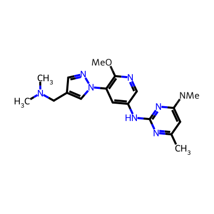 CNc1cc(C)nc(Nc2cnc(OC)c(-n3cc(CN(C)C)cn3)c2)n1